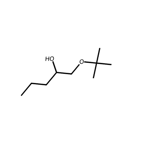 CCCC(O)COC(C)(C)C